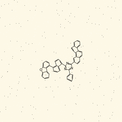 c1ccc(-c2nc(-c3ccc4ccc5c6ccccc6ccc5c4c3)nc(-c3cccc4c(-c5cccc6oc7ccccc7c56)cccc34)n2)cc1